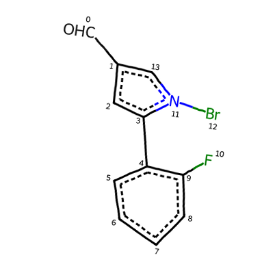 O=Cc1cc(-c2ccccc2F)n(Br)c1